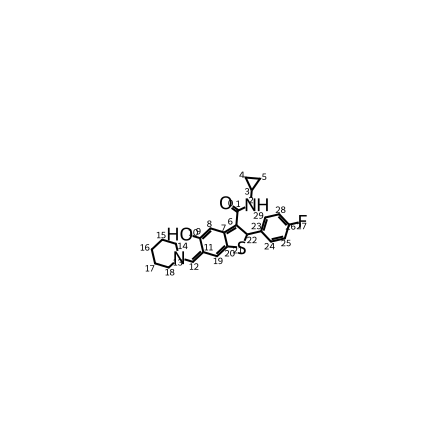 O=C(NC1CC1)C1=c2cc(O)c(=CN3CCCCC3)cc2SC1c1ccc(F)cc1